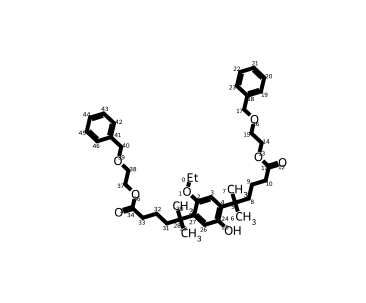 CCOc1cc(C(C)(C)CCCC(=O)OCCOCc2ccccc2)c(O)cc1C(C)(C)CCCC(=O)OCCOCc1ccccc1